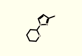 Ic1ccn(C2CCCCO2)n1